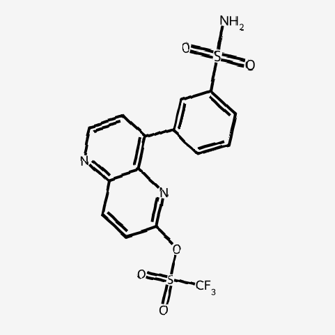 NS(=O)(=O)c1cccc(-c2ccnc3ccc(OS(=O)(=O)C(F)(F)F)nc23)c1